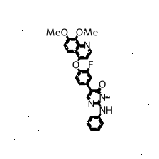 COc1ccc2c(Oc3ccc(-c4cnc(Nc5ccccc5)n(C)c4=O)cc3F)ccnc2c1OC